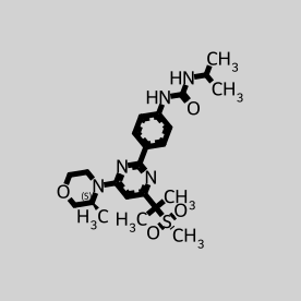 CC(C)NC(=O)Nc1ccc(-c2nc(N3CCOC[C@@H]3C)cc(C(C)(C)S(C)(=O)=O)n2)cc1